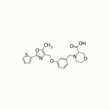 Cc1oc(-c2cccs2)nc1COc1cccc(CN2CCOCC2C(=O)O)c1